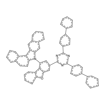 c1ccc(-c2ccc(-c3nc(-c4ccc(-c5ccccc5)cc4)nc(-c4cc(-n5c6cc7ccccc7cc6c6c7ccccc7ccc65)c5c(c4)oc4ccccc45)n3)cc2)cc1